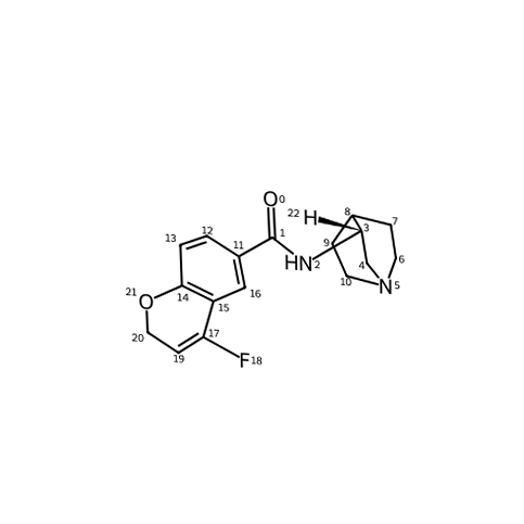 O=C(N[C@H]1CN2CCC1CC2)c1ccc2c(c1)C(F)=CCO2